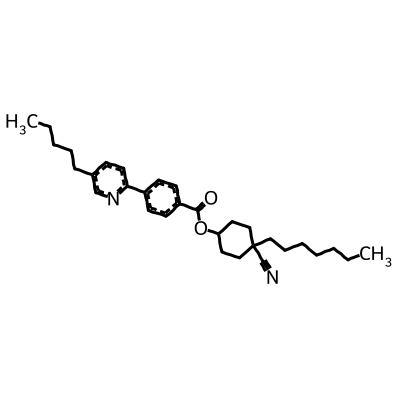 CCCCCCCC1(C#N)CCC(OC(=O)c2ccc(-c3ccc(CCCCC)cn3)cc2)CC1